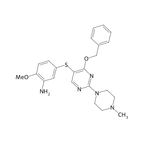 COc1ccc(Sc2cnc(N3CCN(C)CC3)nc2OCc2ccccc2)cc1N